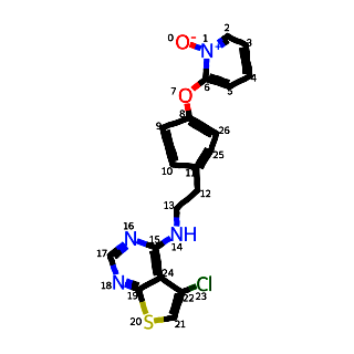 [O-][n+]1ccccc1Oc1ccc(CCNc2ncnc3scc(Cl)c23)cc1